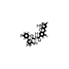 Cc1cc(Cc2ccc(C(=O)NCC(=O)N3C(C(C)C)C(F)(F)C[C@H]3c3cccc(F)c3)cc2C)c(=O)[nH]n1